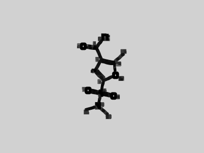 CCC(=O)c1cc(S(=O)(=O)N(C)C)oc1C